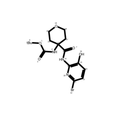 CC(C)(C)OC(=O)NC1(C(=O)Nc2nc(Br)ccc2O)CCOCC1